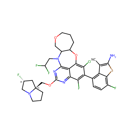 N#Cc1c(N)sc2c(F)ccc(-c3c(Cl)c4c5c(nc(OC[C@@]67CCCN6C[C@H](F)C7)nc5c3F)N(CC(F)F)C3COCCCC3O4)c12